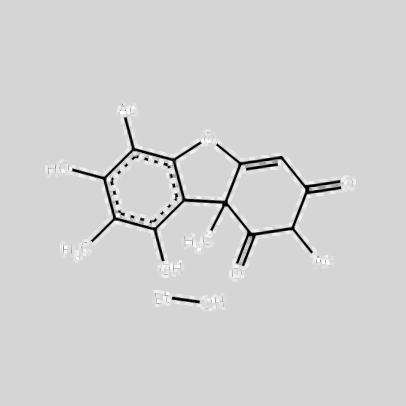 CC(=O)c1c(O)c(C)c(O)c2c1OC1=CC(=O)C(C(C)=O)C(=O)C12C.CCO